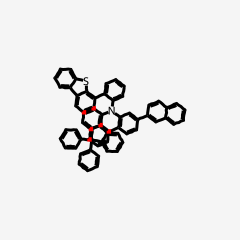 c1ccc(-c2ccc(-c3ccc4ccccc4c3)cc2N(c2ccccc2-c2cccc3c2sc2ccccc23)c2cccc3c2-c2ccccc2C3(c2ccccc2)c2ccccc2)cc1